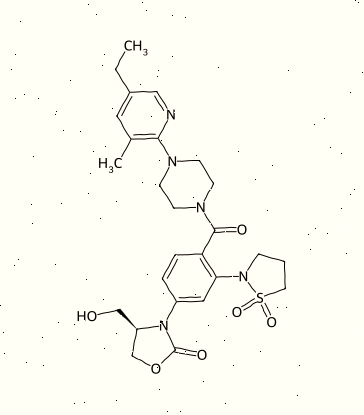 CCc1cnc(N2CCN(C(=O)c3ccc(N4C(=O)OC[C@H]4CO)cc3N3CCCS3(=O)=O)CC2)c(C)c1